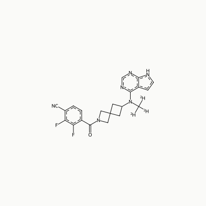 [2H]C([2H])([2H])N(c1ncnc2[nH]ccc12)C1CC2(C1)CN(C(=O)c1ccc(C#N)c(F)c1F)C2